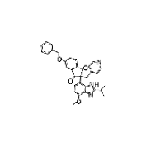 COc1ccc(C2(Cc3ccncc3)C(=O)c3ccc(OCc4ccccc4)cc3C2=O)c2[nH]c(C(C)C)nc12